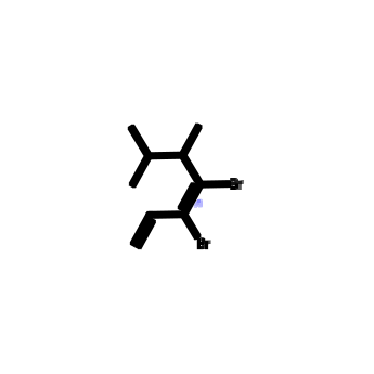 C=C/C(Br)=C(/Br)C(C)C(C)C